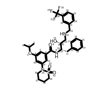 CC(C)Oc1cc(C(=O)N[C@@H](Cc2ccccc2)[C@H](O)CNCc2cccc(C(F)(F)F)c2)cc(N2CCCCS2(=O)=O)c1